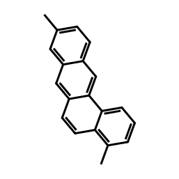 Cc1ccc2cc3c(ccc4c(C)cccc43)cc2c1